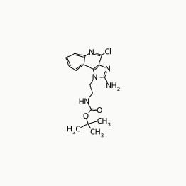 CC(C)(C)OC(=O)NCCn1c(N)nc2c(Cl)nc3ccccc3c21